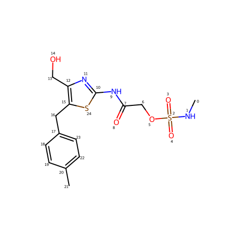 CNS(=O)(=O)OCC(=O)Nc1nc(CO)c(Cc2ccc(C)cc2)s1